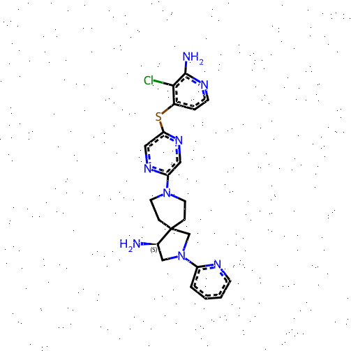 Nc1nccc(Sc2cnc(N3CCC4(CC3)CN(c3ccccn3)C[C@H]4N)cn2)c1Cl